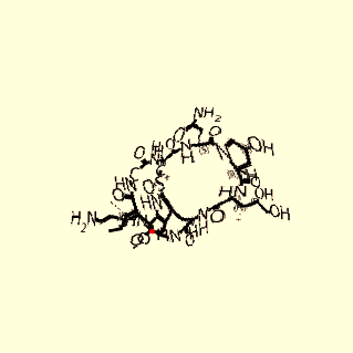 CC[C@H](C)[C@H]1NC(=O)CNC(=O)[C@@H]2Cc3c([nH]c4c(CSCCN)c(OC)ccc34)[S+]([O-])C[C@H](NC(=O)CNC1=O)C(=O)N[C@@H](CC(N)=O)C(=O)N1C[C@H](O)C[C@@H]1C(=O)N[C@@H]([C@@H](C)[C@@H](O)CO)C(=O)N2